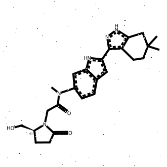 CN(C(=O)CN1C(=O)CC[C@H]1CO)c1ccc2cc(-c3n[nH]c4c3CCC(C)(C)C4)[nH]c2c1